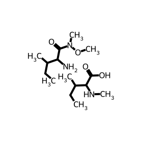 CCC(C)C(N)C(=O)N(C)OC.CCC(C)C(NC)C(=O)O